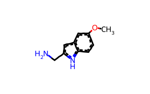 COc1ccc2[nH]c(CN)cc2c1